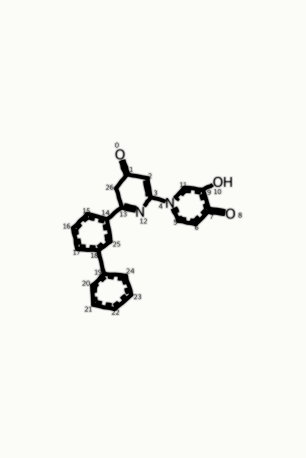 O=C1C=C(n2ccc(=O)c(O)c2)N=C(c2cccc(-c3ccccc3)c2)C1